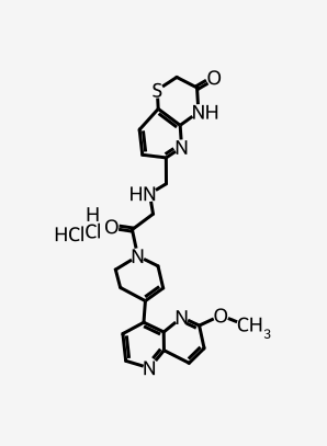 COc1ccc2nccc(C3=CCN(C(=O)CNCc4ccc5c(n4)NC(=O)CS5)CC3)c2n1.Cl.Cl